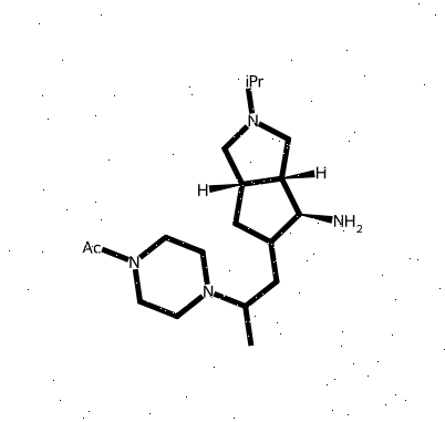 CC(=O)N1CCN(C(C)CC2C[C@@H]3CN(C(C)C)C[C@@H]3[C@H]2N)CC1